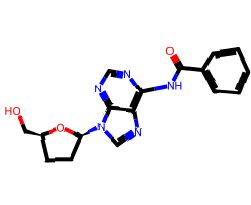 O=C(Nc1ncnc2c1ncn2[C@H]1CC[C@@H](CO)O1)c1ccccc1